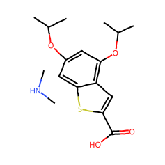 CC(C)Oc1cc(OC(C)C)c2cc(C(=O)O)sc2c1.CNC